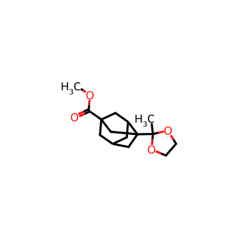 COC(=O)C12CC3CC(C1)C(C1(C)OCCO1)(C3)C2